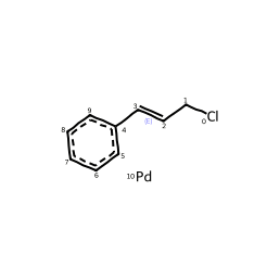 ClC/C=C/c1ccccc1.[Pd]